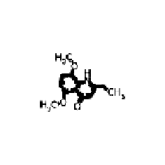 CCc1cc(=O)c2c(OC)ccc(OC)c2[nH]1